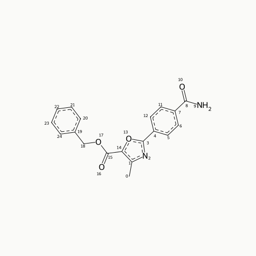 Cc1nc(-c2ccc(C(N)=O)cc2)oc1C(=O)OCc1ccccc1